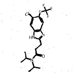 CC(C)N(C(=O)CCc1nc2cc(OC(F)(F)F)c(Cl)cc2[nH]1)C(C)C